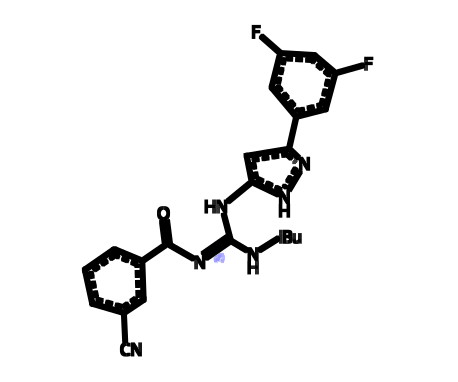 CCC(C)N/C(=N/C(=O)c1cccc(C#N)c1)Nc1cc(-c2cc(F)cc(F)c2)n[nH]1